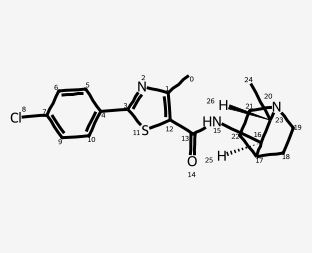 Cc1nc(-c2ccc(Cl)cc2)sc1C(=O)N[C@@H]1C2CCN(CC2)[C@H]1C